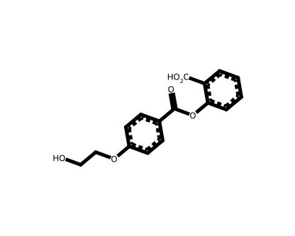 O=C(Oc1ccccc1C(=O)O)c1ccc(OCCO)cc1